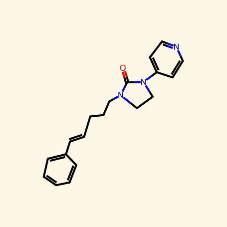 O=C1N(CCC/C=C/c2ccccc2)CCN1c1ccncc1